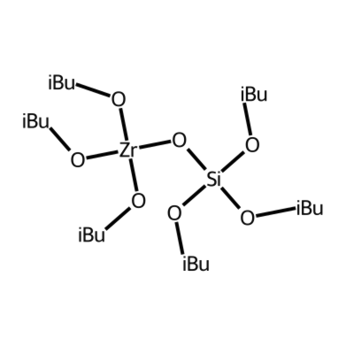 CCC(C)O[Si](OC(C)CC)(OC(C)CC)[O][Zr]([O]C(C)CC)([O]C(C)CC)[O]C(C)CC